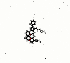 CCCCn1c(-c2ccccc2)nc(-c2ccccc2)c1CN(Cc1ccccc1)Cc1ccccc1C